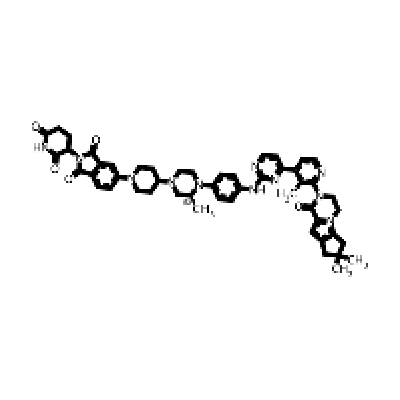 Cc1c(-c2ccnc(Nc3ccc(N4CCN(C5CCN(c6ccc7c(c6)C(=O)N(C6CCC(=O)NC6=O)C7=O)CC5)C[C@@H]4C)cc3)n2)ccnc1N1CCn2c(cc3c2CC(C)(C)C3)C1=O